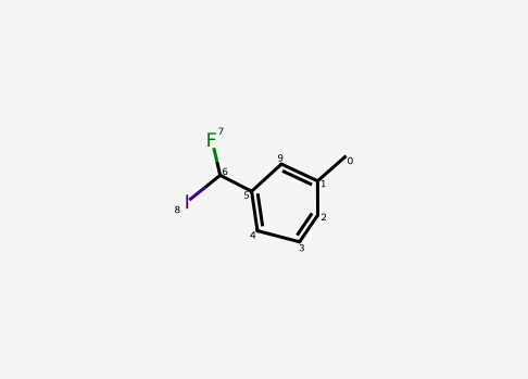 Cc1cccc(C(F)I)c1